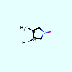 C[C@@H]1CN(I)C[C@@H]1C